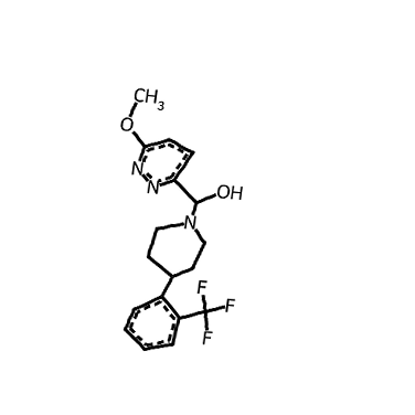 COc1ccc(C(O)N2CCC(c3ccccc3C(F)(F)F)CC2)nn1